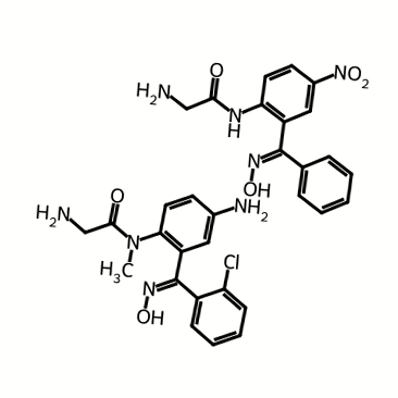 CN(C(=O)CN)c1ccc(N)cc1C(=NO)c1ccccc1Cl.NCC(=O)Nc1ccc([N+](=O)[O-])cc1C(=NO)c1ccccc1